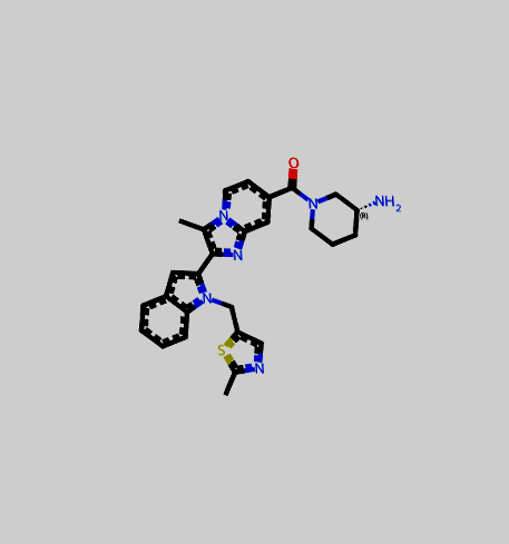 Cc1ncc(Cn2c(-c3nc4cc(C(=O)N5CCC[C@@H](N)C5)ccn4c3C)cc3ccccc32)s1